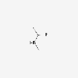 CBC(C)F